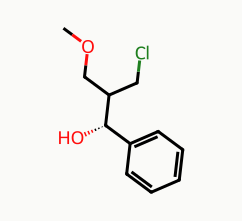 COCC(CCl)[C@@H](O)c1ccccc1